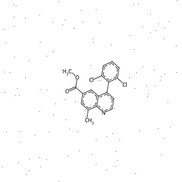 COC(=O)c1cc(C)c2nccc(-c3c(Cl)cccc3Cl)c2c1